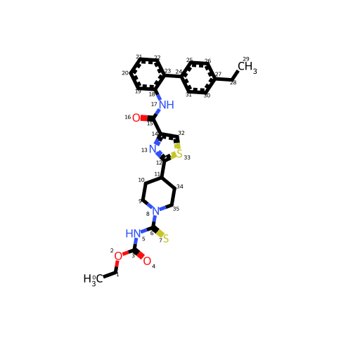 CCOC(=O)NC(=S)N1CCC(c2nc(C(=O)Nc3ccccc3-c3ccc(CC)cc3)cs2)CC1